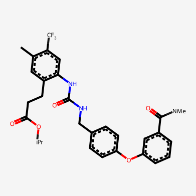 CNC(=O)c1cccc(Oc2ccc(CNC(=O)Nc3cc(C(F)(F)F)c(C)cc3CCC(=O)OC(C)C)cc2)c1